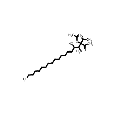 CCCCCCCCCCCCCC=CC(O)C(N)C(OC(C)=O)(C(C)=O)C(C)=O